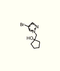 OC1(Cn2cc(Br)cn2)CCCC1